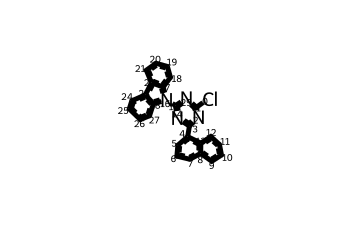 Clc1nc(-c2cccc3ccccc23)nc(-n2c3ccccc3c3ccccc32)n1